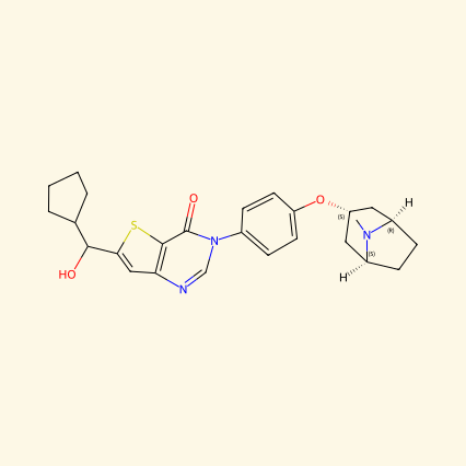 CN1[C@@H]2CC[C@H]1C[C@H](Oc1ccc(-n3cnc4cc(C(O)C5CCCC5)sc4c3=O)cc1)C2